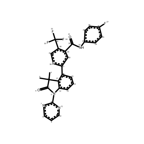 CC1(C)C(=O)N(c2ncccn2)c2cccc(-c3cc(C(=O)Nc4ccc(F)cc4)c(C(F)(F)F)cn3)c21